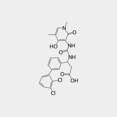 Cc1cn(C)c(=O)c(NC(=O)NC(CC(=O)O)c2cccc(-c3cccc(Cl)c3Cl)c2)c1O